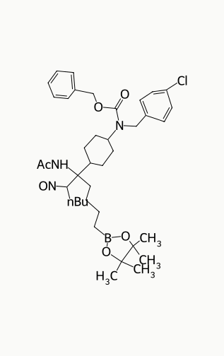 CCCCC(N=O)C(CCCCB1OC(C)(C)C(C)(C)O1)(NC(C)=O)C1CCC(N(Cc2ccc(Cl)cc2)C(=O)OCc2ccccc2)CC1